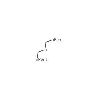 CCCCC[CH2][Ti][CH2]CCCCC